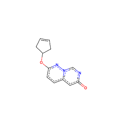 O=c1cc2ccc(OC3CC=CC3)nn2cn1